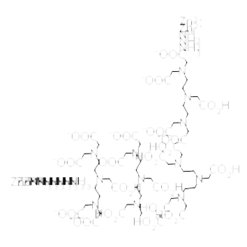 N.N.N.N.N.N.N.N.N.N.O=C(O)CN(CCN(CC(=O)O)CC(=O)O)CCN(CC(=O)O)CC(=O)O.O=C([O-])CN(CCN(CCN(CC(=O)O)CC(=O)O)CC(=O)O)CC(=O)[O-].O=C([O-])CN(CCN(CCN(CC(=O)[O-])CC(=O)[O-])CC(=O)O)CC(=O)[O-].O=C([O-])CN(CCN(CCN(CC(=O)[O-])CC(=O)[O-])CC(=O)O)CC(=O)[O-].[Zn+2].[Zn+2].[Zn+2].[Zn+2].[Zn+2]